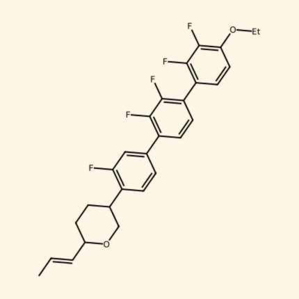 C/C=C/C1CCC(c2ccc(-c3ccc(-c4ccc(OCC)c(F)c4F)c(F)c3F)cc2F)CO1